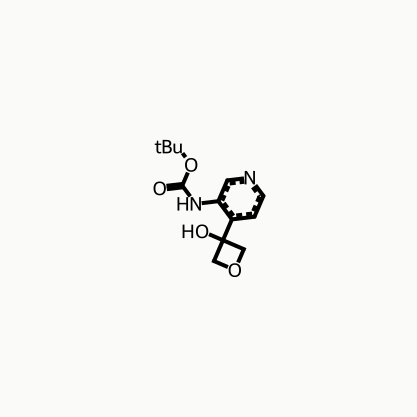 CC(C)(C)OC(=O)Nc1cnccc1C1(O)COC1